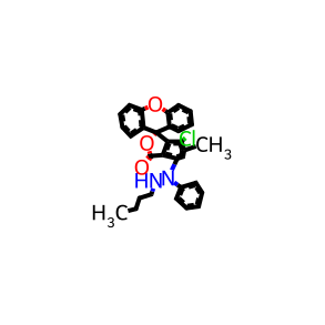 CCCCNN(c1ccccc1)c1cc(C)c(Cl)c2c1C(=O)OC21c2ccccc2Oc2ccccc21